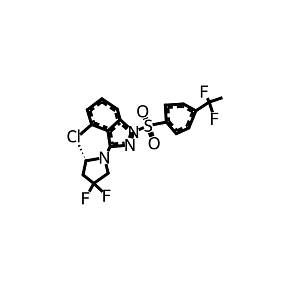 C[C@H]1CC(F)(F)CN1c1nn(S(=O)(=O)c2ccc(C(C)(F)F)cc2)c2cccc(Cl)c12